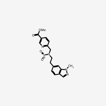 COC(=O)c1ccc(CN(CCc2ccc3cnn(C)c3c2)[SH](=O)=O)nc1